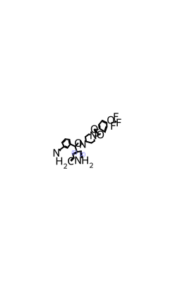 C=C/C=C(\C=C/N)C(ON=C1CCN(S(=O)(=O)c2ccc(OC(F)(F)F)cc2)CC1)c1cccc(C#N)c1